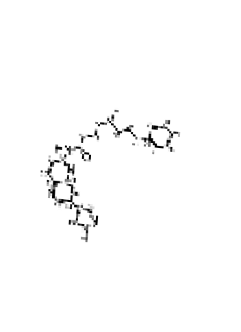 CC(CCCC(=O)Nc1ccc2ncc(-c3cn[nH]c3)nc2n1)CCCc1ccccc1